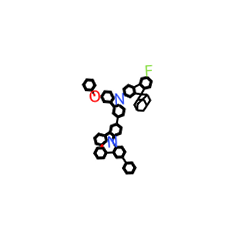 Fc1ccc2c(c1)-c1ccc(-n3c4ccc(Oc5ccccc5)cc4c4cc(-c5ccc6c(c5)c5ccccc5n6-c5ccc(-c6ccccc6)cc5-c5ccccc5)ccc43)cc1C21C2CC3CC(C2)CC1C3